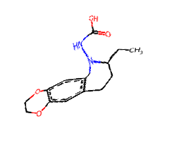 CCC1CCc2cc3c(cc2N1NC(=O)O)OCCO3